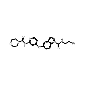 CC(C)CCNC(=O)n1ccc2cc(Oc3ccnc(NC(=O)N4CCOCC4)c3)ccc21